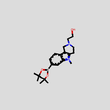 Cn1c2c(c3ccc(B4OC(C)(C)C(C)(C)O4)cc31)CN(CCO)CC2